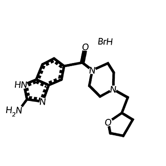 Br.Nc1nc2cc(C(=O)N3CCN(CC4CCCO4)CC3)ccc2[nH]1